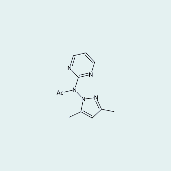 CC(=O)N(c1ncccn1)n1nc(C)cc1C